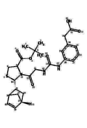 CC(C)(C)OC(=O)C1CSC([C@@H]2C[C@@H]3C=CC2C3)N1C(=O)CNC(=O)Nc1cccc(CC(=O)O)c1